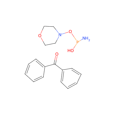 NP(O)ON1CCOCC1.O=C(c1ccccc1)c1ccccc1